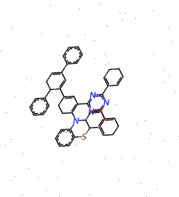 C1=CC2Sc3ccccc3N(C3=C(c4nc(C5=CCCC=C5)nc(C5=CCCC=C5)n4)C=C(C4=CC(c5ccccc5)=CCC4c4ccccc4)CC3)C2C=C1